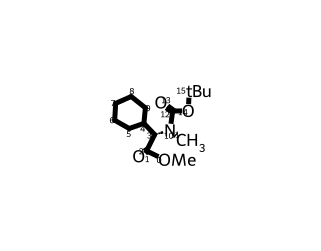 COC(=O)[C@H](C1CCCCC1)N(C)C(=O)OC(C)(C)C